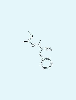 CO[C@H](C)OC(C)C(N)Cc1ccccc1